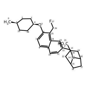 C[C@H]1CC[C@@H](Oc2ccc3ccc(CN4C5CCC4CC(C(=O)O)C5)cc3c2CF)CC1